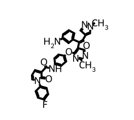 Cc1nc(Oc2ccc(NC(=O)c3cccn(-c4ccc(F)cc4)c3=O)cc2)c2c(-c3cccc(N)c3)c(-c3cnn(C)c3)oc2n1